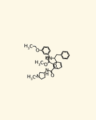 CCOc1cccc(NC(Cc2ccccc2)C23C=CC(O2)C(C(=O)NC2CCN(C)C2)=C3C(=O)OC)c1